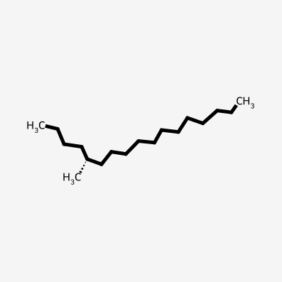 CCCCCCCCCCCC[C@H](C)CCCC